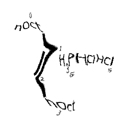 CCCCCCCC/C=C/CCCCCCCC.Cl.Cl.P